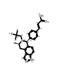 C[C@@H]1Cc2c(ccc3[nH]ncc23)[C@H](c2ccc(/C=C/C(=O)O)cc2)N1CC(C)(C)F